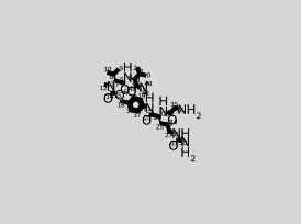 CC(C)[C@H](NC(=O)[C@H](C(C)C)N(C)C(=O)OCc1ccc(NC(=O)[C@H](CCCNC(N)=O)NC(=O)CN)cc1)C(=O)N(C)C